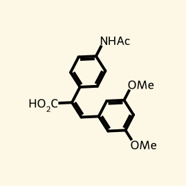 COc1cc(C=C(C(=O)O)c2ccc(NC(C)=O)cc2)cc(OC)c1